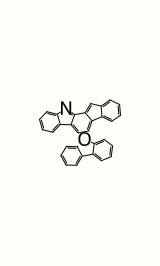 C1=c2c(ccc3c2=Nc2ccccc2-3)-c2ccccc21.c1ccc2c(c1)oc1ccccc12